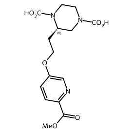 COC(=O)c1ccc(OCC[C@@H]2CN(C(=O)O)CCN2C(=O)O)cn1